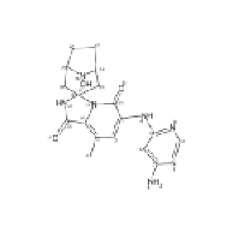 Cc1cc(Nc2cc(N)ncn2)c(=O)n2c1C(=O)NC21CC2CCC(C1)N2O